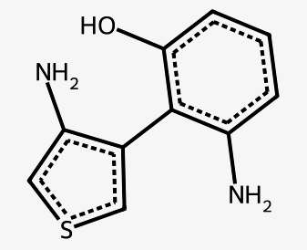 Nc1cscc1-c1c(N)cccc1O